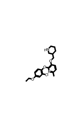 CCOc1ccc(Oc2nc(C)ccc2OCC2CCCNC2)c(Cl)c1